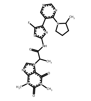 CC1CCCN1c1ncncc1-c1nc(NC(=O)C(C)n2cnc3c2c(=O)n(C)c(=O)n3C)sc1F